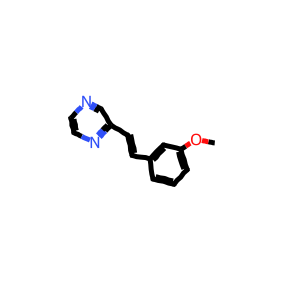 COc1cccc(/C=C/c2cnccn2)c1